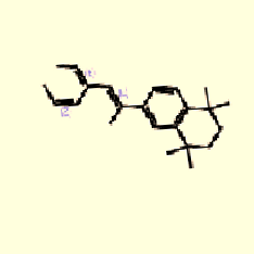 C\C=C/C(=C\C)/C=C(\C)c1ccc2c(c1)C(C)(C)CCC2(C)C